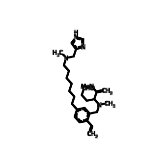 C=Cc1ccc(CCCCCCCN(C)Cc2c[nH]cn2)cc1CN(C)C(CCC=O)C(=C)NC